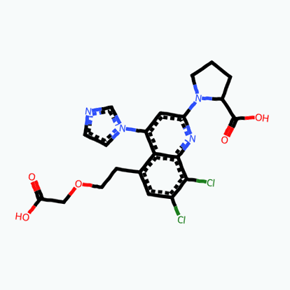 O=C(O)COCCc1cc(Cl)c(Cl)c2nc(N3CCCC3C(=O)O)cc(-n3ccnc3)c12